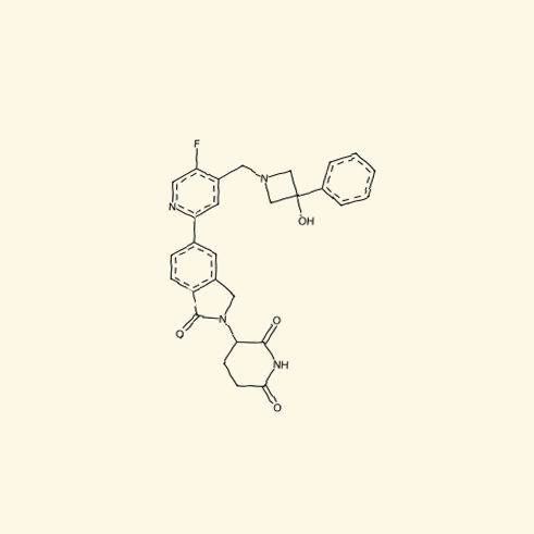 O=C1CCC(N2Cc3cc(-c4cc(CN5CC(O)(c6ccccc6)C5)c(F)cn4)ccc3C2=O)C(=O)N1